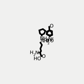 NC1CCCCC1.NCCCC[C@H](N)C(=O)O.O=Cc1ccc([N+](=O)[O-])cc1